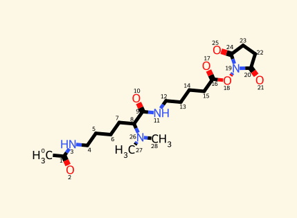 CC(=O)NCCCCC(C(=O)NCCCCC(=O)ON1C(=O)CCC1=O)N(C)C